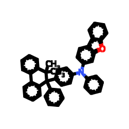 CC1(C)c2ccccc2-c2ccccc2C1(c1ccccc1)c1ccc(N(c2ccccc2)c2ccc3c(c2)oc2ccccc23)cc1